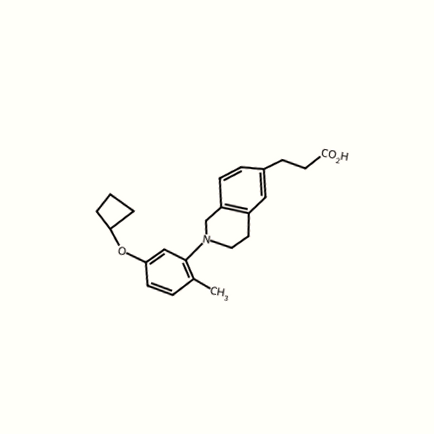 Cc1ccc(OC2CCC2)cc1N1CCc2cc(CCC(=O)O)ccc2C1